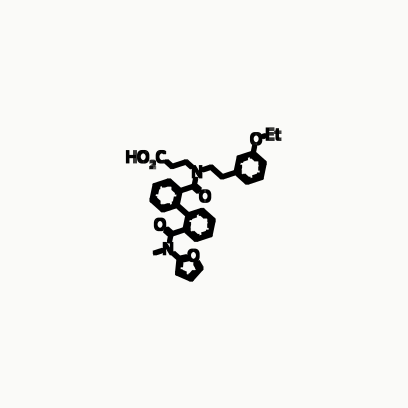 CCOc1cccc(CCN(CCC(=O)O)C(=O)c2ccccc2-c2ccccc2C(=O)N(C)c2ccco2)c1